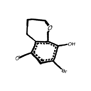 Oc1c(Br)cc(Cl)c2c1OCCC2